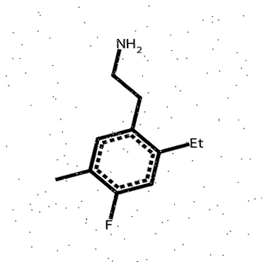 CCc1cc(F)c(C)cc1CCN